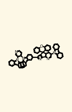 c1ccc2c(c1)Oc1ccccc1C21c2cc(-c3ccc4c(c3)c3ccccc3n4-c3ccncc3-n3c4ccccc4c4ccccc43)cnc2-c2ncc(-n3c4ccccc4c4ccccc43)cc21